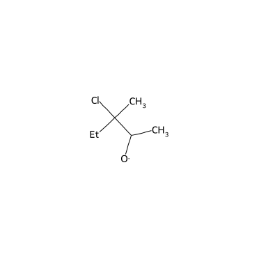 CCC(C)(Cl)C(C)[O]